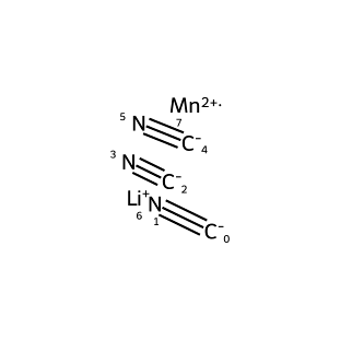 [C-]#N.[C-]#N.[C-]#N.[Li+].[Mn+2]